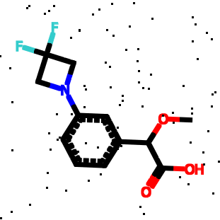 COC(C(=O)O)c1cccc(N2CC(F)(F)C2)c1